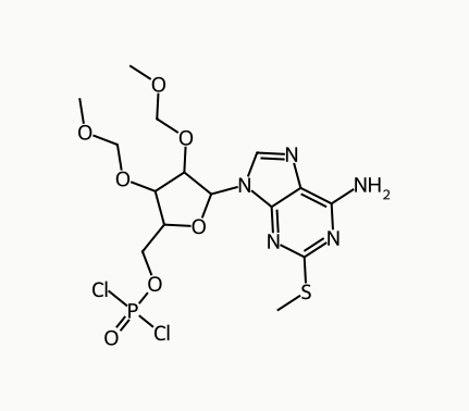 COCOC1C(COP(=O)(Cl)Cl)OC(n2cnc3c(N)nc(SC)nc32)C1OCOC